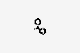 O=C(c1cnccn1)N1CC[CH]CC1